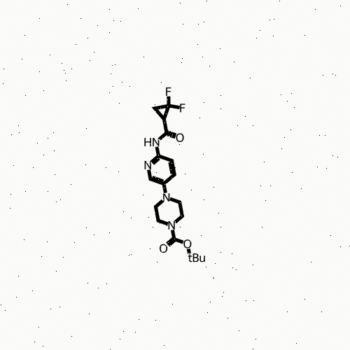 CC(C)(C)OC(=O)N1CCN(c2ccc(NC(=O)C3CC3(F)F)nc2)CC1